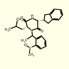 CC(C)C[C@@H]1C(=O)N[C@H](C2Cc3ccccc3C2)C(=O)N1C(C)c1ccccc1[S+](C)[O-]